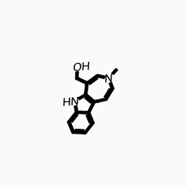 CN1C=Cc2c([nH]c3ccccc23)C(CO)=C1